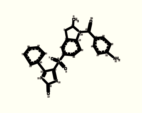 CC1Cc2cc(S(=O)(=O)C3=NC(=O)N=C3c3ccccc3)ccc2N1C(=O)c1ccc(N)cc1